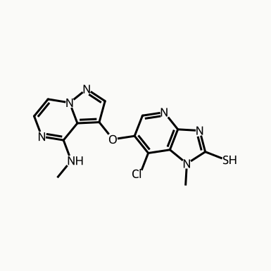 CNc1nccn2ncc(Oc3cnc4nc(S)n(C)c4c3Cl)c12